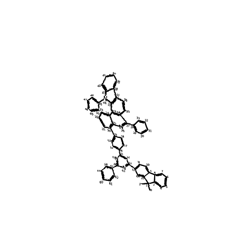 CC1(C)c2ccccc2-c2ccc(-c3cc(-c4ccc(-c5cccc6c5nc(-c5ccccc5)c5ccc7c8ccccc8n(-c8ccccc8)c7c56)cc4)nc(-c4ccccc4)n3)cc21